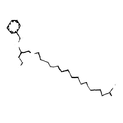 CCCC(COCCCCCCCCCCCCCCC(C)F)OCc1ccccc1